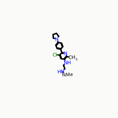 CNNCCNc1cc(Cl)c(-c2ccc(N3CCCC3)cc2)nc1C